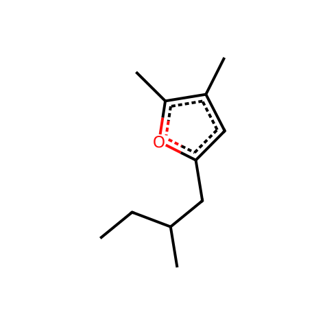 CCC(C)Cc1cc(C)c(C)o1